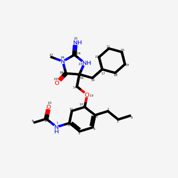 CCCC1=CC=C(NC(C)=O)CC1OCC1(CC2CCCCC2)NC(=N)N(C)C1=O